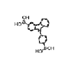 OB(O)c1ccc(-n2c3ccccc3c3cc(B(O)O)ccc32)cc1